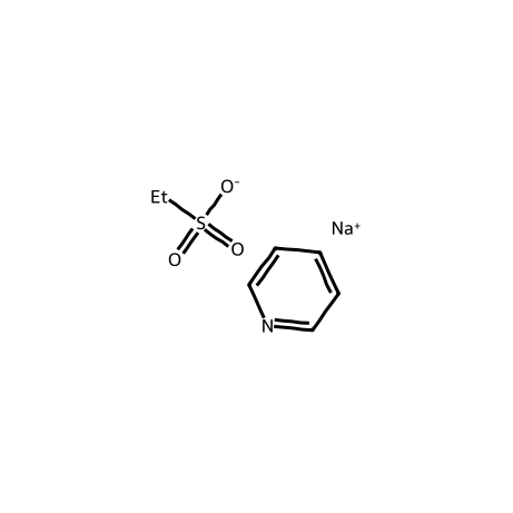 CCS(=O)(=O)[O-].[Na+].c1ccncc1